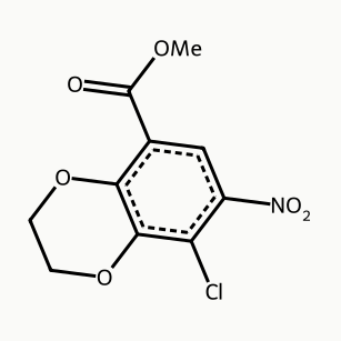 COC(=O)c1cc([N+](=O)[O-])c(Cl)c2c1OCCO2